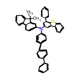 CC1(C)c2ccccc2-c2ccc(N(c3ccc(-c4ccc(-c5ccccc5)cc4)cc3)c3cc(-c4ccccc4)c4sc5ccccc5c4c3)cc21